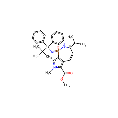 COC(=O)c1c2c(cn1C)S(=O)(=N[Si](c1ccccc1)(c1ccccc1)C(C)(C)C)N[C@@H](C(C)C)C=C2